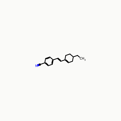 CCC1CC=C(/C=C/c2ccc(C#N)cc2)CC1